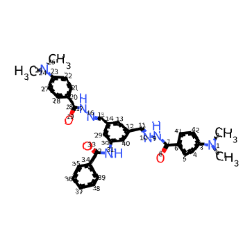 CN(C)c1ccc(C(=O)N/N=C/c2cc(/C=N/NC(=O)c3ccc(N(C)C)cc3)cc(NC(=O)c3ccccc3)c2)cc1